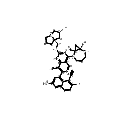 C#Cc1c(F)ccc2cc(O)cc(-c3ncc4c(N5CCCO[C@H]6C[C@H]65)nc(OC[C@@]56CCCN5C[C@H](F)C6)nc4c3F)c12